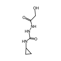 O=C(CO)NNC(=O)NC1CC1